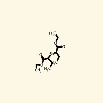 CCOC(=O)[CH](CC)[Sn][CH](CC)C(=O)OCC